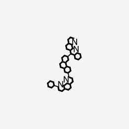 c1ccc(-c2ccc3ccc4ccc(-c5ccc6c(ccc7ccc(-c8c9ccccc9nc9c8ccc8cccnc89)cc76)c5)nc4c3n2)cc1